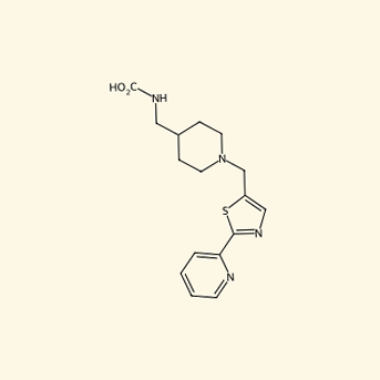 O=C(O)NCC1CCN(Cc2cnc(-c3ccccn3)s2)CC1